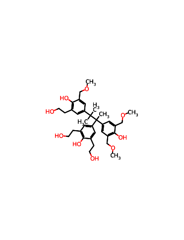 COCc1cc(C(C)(C)C(C)(c2cc(CCO)c(O)c(CCO)c2)c2cc(COC)c(O)c(COC)c2)cc(CCO)c1O